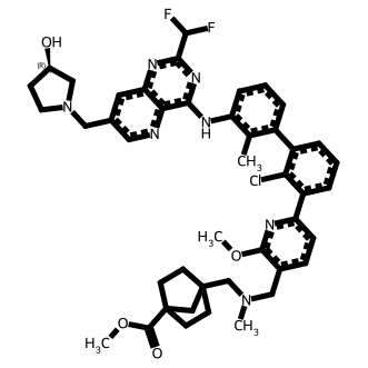 COC(=O)C12CCC(CN(C)Cc3ccc(-c4cccc(-c5cccc(Nc6nc(C(F)F)nc7cc(CN8CC[C@@H](O)C8)cnc67)c5C)c4Cl)nc3OC)(CC1)C2